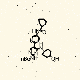 CCCCNc1ncc(-c2ccc(NC(=O)C3CCCCC3)cn2)c(N[C@H]2CC[C@H](O)CC2)n1